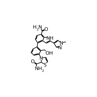 Cn1cc(-c2cc3c(-c4cccc(N5C=CSC5C(N)=O)c4CO)ccc(C(N)=O)c3[nH]2)cn1